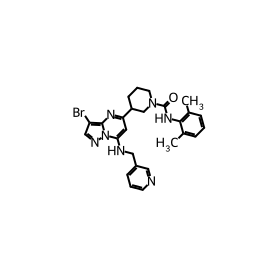 Cc1cccc(C)c1NC(=O)N1CCCC(c2cc(NCc3cccnc3)n3ncc(Br)c3n2)C1